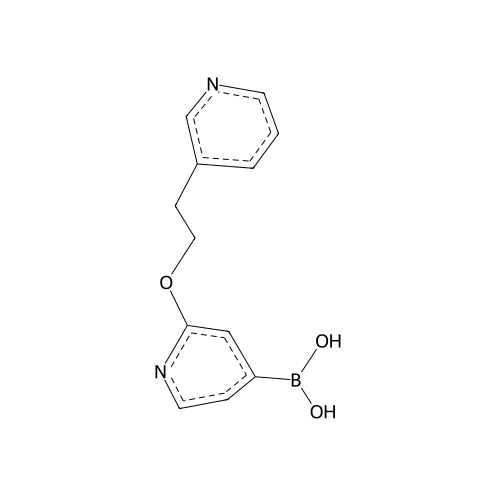 OB(O)c1ccnc(OCCc2cccnc2)c1